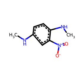 CNc1ccc(NC)c([N+](=O)[O-])c1